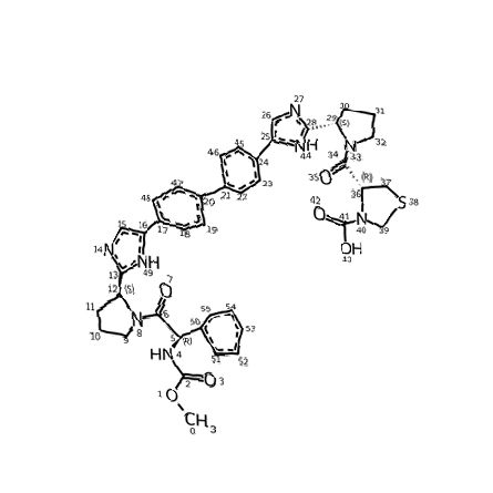 COC(=O)N[C@@H](C(=O)N1CCC[C@H]1c1ncc(-c2ccc(-c3ccc(-c4cnc([C@@H]5CCCN5C(=O)[C@@H]5CSCN5C(=O)O)[nH]4)cc3)cc2)[nH]1)c1ccccc1